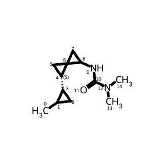 CC1CC1[C@@H]1CC12CC2NC(=O)N(C)C